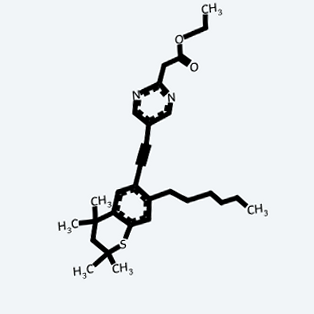 CCCCCCc1cc2c(cc1C#Cc1cnc(CC(=O)OCC)nc1)C(C)(C)CC(C)(C)S2